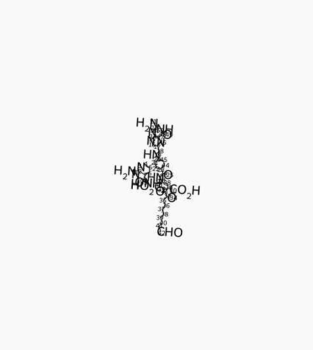 NNc1ncccc1C(N)=O.Nc1nc2ncc(CNc3ccc(C(=O)NC(CC(C(=O)O)C(=O)C(=O)CCCCCCCC=O)C(=O)O)cc3)nc2c(=O)[nH]1